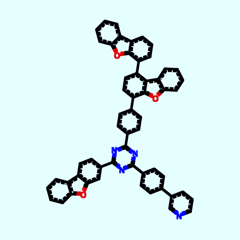 c1cncc(-c2ccc(-c3nc(-c4ccc(-c5ccc(-c6cccc7c6oc6ccccc67)c6c5oc5ccccc56)cc4)nc(-c4ccc5c(c4)oc4ccccc45)n3)cc2)c1